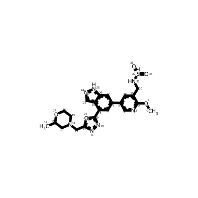 COc1ncc(-c2cc(-c3nnc(CN4CCOC(C)C4)o3)c3cn[nH]c3c2)cc1CN[SH](=O)=O